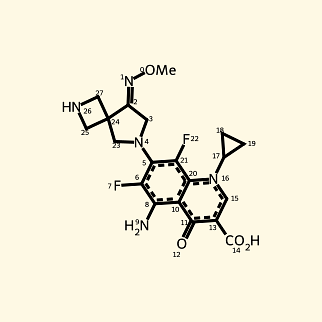 CO/N=C1\CN(c2c(F)c(N)c3c(=O)c(C(=O)O)cn(C4CC4)c3c2F)CC12CNC2